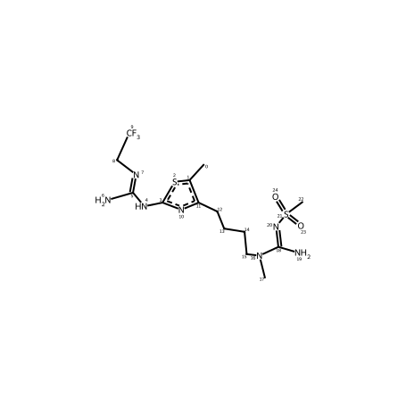 Cc1sc(NC(N)=NCC(F)(F)F)nc1CCCCN(C)C(N)=NS(C)(=O)=O